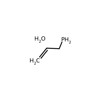 C=CCP.O